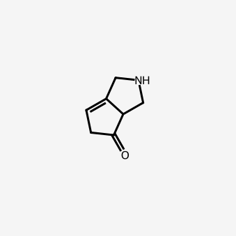 O=C1CC=C2CNCC12